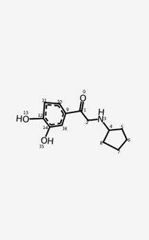 O=C(CNC1CCCC1)c1ccc(O)c(O)c1